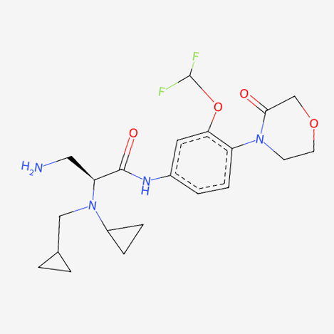 NC[C@@H](C(=O)Nc1ccc(N2CCOCC2=O)c(OC(F)F)c1)N(CC1CC1)C1CC1